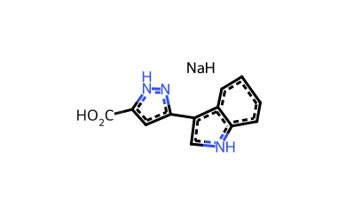 O=C(O)c1cc(-c2c[nH]c3ccccc23)n[nH]1.[NaH]